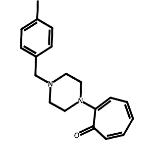 Cc1ccc(CN2CCN(c3cccccc3=O)CC2)cc1